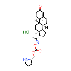 C/C(=N\OC(=O)OC[C@@H]1CCCN1)[C@H]1CCC2[C@@H]3CCC4=CC(=O)CC[C@]4(C)[C@H]3CC[C@@]21C.Cl